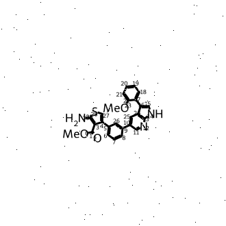 COC(=O)c1c(-c2cccc(-c3cnc4[nH]cc(-c5ccccc5OC)c4c3)c2)csc1N